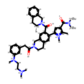 CCCCN(CCCC)C(=O)c1cc(-c2cc3c(cc2C(=O)N2Cc4ccccc4C[C@H]2C)CN(C(=O)Cc2cccc(N(C)CCN(C)C)c2)CC3)n(C)c1C